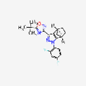 CC(C)(C)c1nc(-c2nn(-c3ccc(F)cc3F)c3c2[C@@H]2CC[C@H]3C2)no1